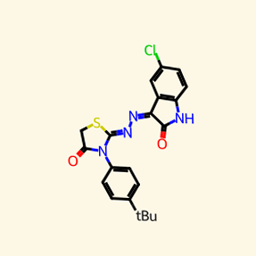 CC(C)(C)c1ccc(N2C(=O)CSC2=NN=C2C(=O)Nc3ccc(Cl)cc32)cc1